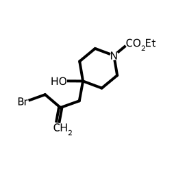 C=C(CBr)CC1(O)CCN(C(=O)OCC)CC1